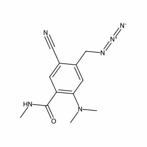 CNC(=O)c1cc(C#N)c(CN=[N+]=[N-])cc1N(C)C